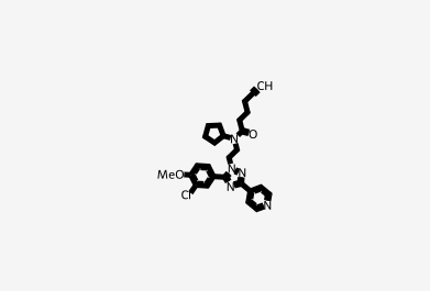 C#CCCCC(=O)N(CCn1nc(-c2ccncc2)nc1-c1ccc(OC)c(Cl)c1)C1CCCC1